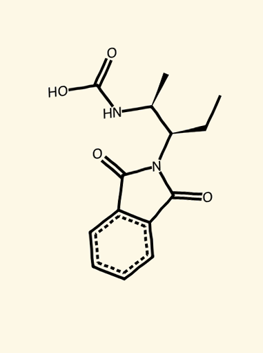 CC[C@H]([C@H](C)NC(=O)O)N1C(=O)c2ccccc2C1=O